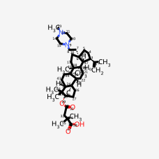 C=C(C)[C@@H]1CC[C@]2(CCN3CCN(C)CC3)CC[C@]3(C)[C@H](CC[C@@H]4[C@@]5(C)CC[C@H](OC(=O)CC(C)(C)C(=O)O)C(C)(C)[C@@H]5CC[C@]43C)[C@@H]12